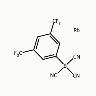 N#C[B-](C#N)(C#N)c1cc(C(F)(F)F)cc(C(F)(F)F)c1.[Rb+]